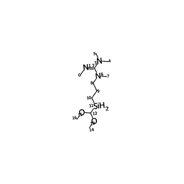 CN=C(N(C)C)N(C)CCC[SiH2]C(OC)OC